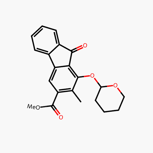 COC(=O)c1cc2c(c(OC3CCCCO3)c1C)C(=O)c1ccccc1-2